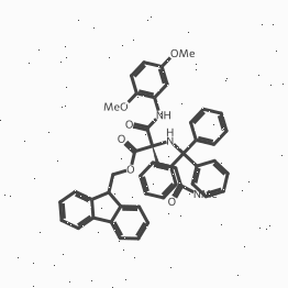 CNC(=O)CC[C@](NC(c1ccccc1)(c1ccccc1)c1ccccc1)(C(=O)Nc1cc(OC)ccc1OC)C(=O)OCC1c2ccccc2-c2ccccc21